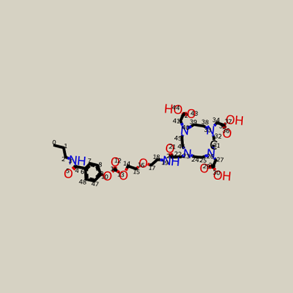 CCCNC(=O)c1ccc(OC(=O)OCCOCCNC(=O)CN2CCN(CC(=O)O)CCN(CC(=O)O)CCN(CC(=O)O)CC2)cc1